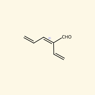 C=C/C=C(\C=C)C=O